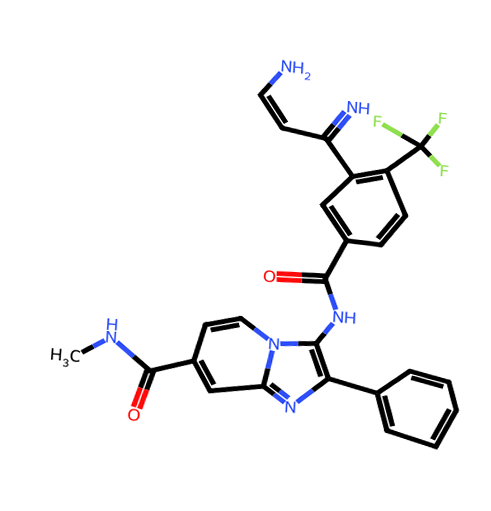 CNC(=O)c1ccn2c(NC(=O)c3ccc(C(F)(F)F)c(C(=N)/C=C\N)c3)c(-c3ccccc3)nc2c1